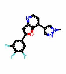 Cn1cc(-c2ccnc3cc(-c4cc(F)c(F)c(F)c4)oc23)cn1